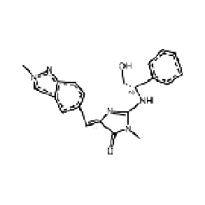 CN1C(=O)/C(=C/c2ccc3nn(C)cc3c2)N=C1N[C@H](CO)c1ccccc1